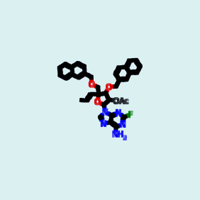 C/C=C/C1(COCc2ccc3ccccc3c2)OC(n2cnc3c(N)nc(F)nc32)C(OC(C)=O)C1OCc1ccc2ccccc2c1